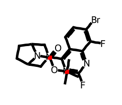 CC(C)(C)OC(=O)N1C2CCC1CN(c1nc(F)nc3c(F)c(Br)ccc13)C2